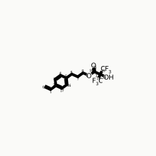 C=Cc1ccc(CCCOC(=O)C(O)(C(F)(F)F)C(F)(F)F)cc1